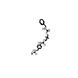 COC(=O)NCc1ccc(NC(=O)OCC(C)(C)COC(=O)NCC2=CCCC=C2)cc1